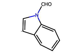 O=Cn1c[c]c2ccccc21